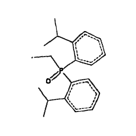 [CH2]CP(=O)(c1ccccc1C(C)C)c1ccccc1C(C)C